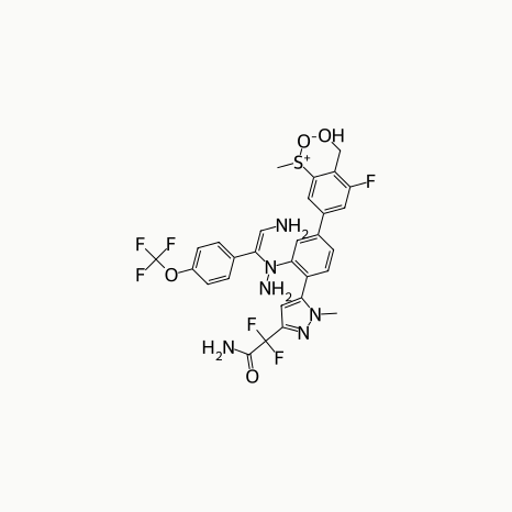 Cn1nc(C(F)(F)C(N)=O)cc1-c1ccc(-c2cc(F)c(CO)c([S+](C)[O-])c2)cc1N(N)/C(=C\N)c1ccc(OC(F)(F)F)cc1